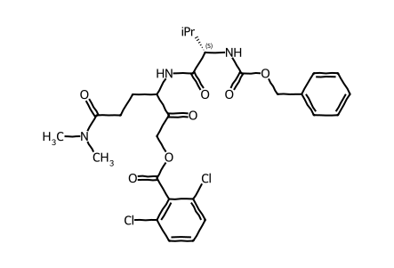 CC(C)[C@H](NC(=O)OCc1ccccc1)C(=O)NC(CCC(=O)N(C)C)C(=O)COC(=O)c1c(Cl)cccc1Cl